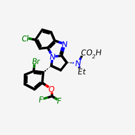 CCN(C(=O)O)[C@@H]1C[C@H](c2c(Br)cccc2OC(F)F)n2c1nc1ccc(Cl)cc12